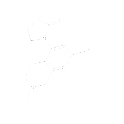 CN1COc2c(cc(C(F)(F)F)cc2N2CCCC2=O)C1